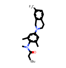 Cc1cc(N2CCc3ccc(C(F)(F)F)cc3C2)cc(C)c1N(C)C(=O)CC(C)(C)C